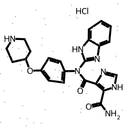 Cl.NC(=O)c1[nH]cnc1C(=O)N(c1ccc(OC2CCNCC2)cc1)c1nc2ccccc2[nH]1